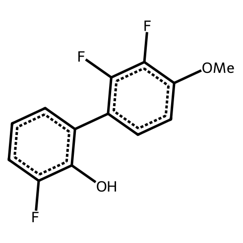 COc1ccc(-c2cccc(F)c2O)c(F)c1F